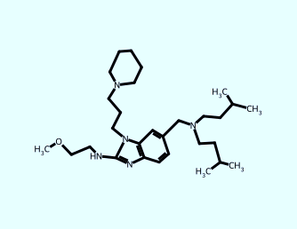 COCCNc1nc2ccc(CN(CCC(C)C)CCC(C)C)cc2n1CCCN1CCCCC1